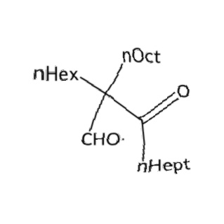 CCCCCCCCC([C]=O)(CCCCCC)C(=O)CCCCCCC